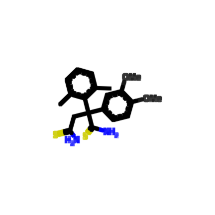 COc1ccc(C(CC(N)=S)(C(N)=S)c2c(C)cccc2C)cc1OC